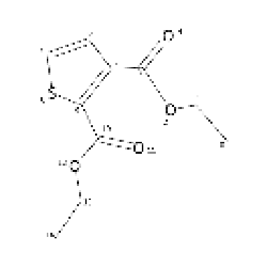 CCOC(=O)c1ccsc1C(=O)OCC